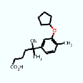 Cc1ccc(C(C)(C#N)CCCC(=O)O)cc1OC1CCCC1